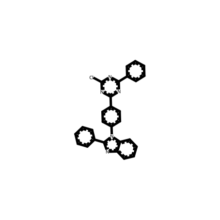 Clc1nc(-c2ccccc2)nc(-c2ccc(-n3c(-c4ccccc4)nc4ccccc43)cc2)n1